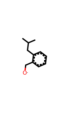 CC(C)Cc1ccccc1C[O]